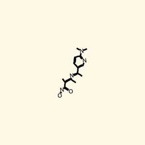 C/C(=N\C(C)=C(/C)C(=O)N=O)c1ccc(N(C)C)nc1